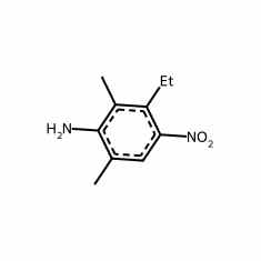 CCc1c([N+](=O)[O-])cc(C)c(N)c1C